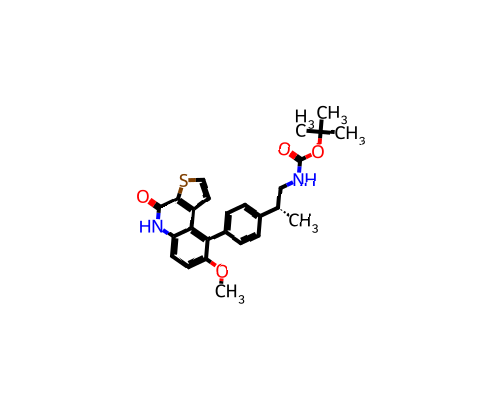 COc1ccc2[nH]c(=O)c3sccc3c2c1-c1ccc([C@@H](C)CNC(=O)OC(C)(C)C)cc1